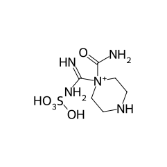 N=C(N)[N+]1(C(N)=O)CCNCC1.O=S(=O)(O)O